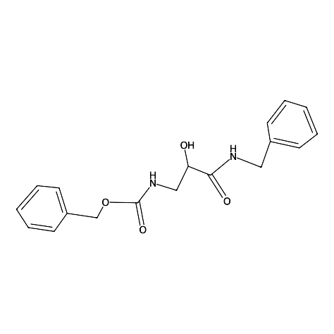 O=C(NCC(O)C(=O)NCc1ccccc1)OCc1ccccc1